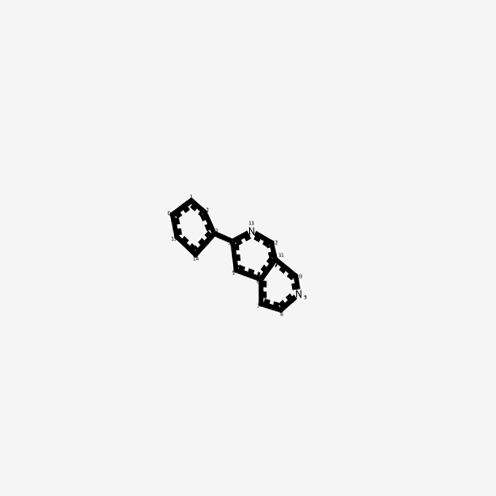 [c]1ccc(-c2cc3ccncc3cn2)cc1